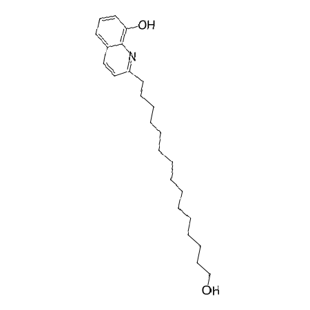 OCCCCCCCCCCCCCCCc1ccc2cccc(O)c2n1